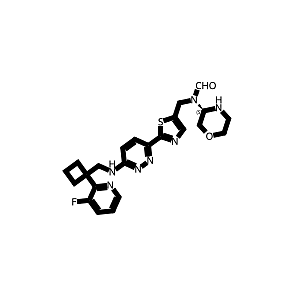 O=CN(Cc1cnc(-c2ccc(NCC3(c4ncccc4F)CCC3)nn2)s1)[C@H]1COCCN1